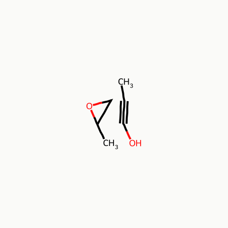 CC#CO.CC1CO1